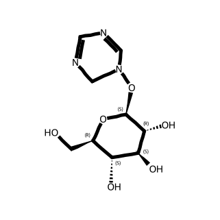 OC[C@H]1O[C@@H](ON2C=NC=NC2)[C@H](O)[C@@H](O)[C@@H]1O